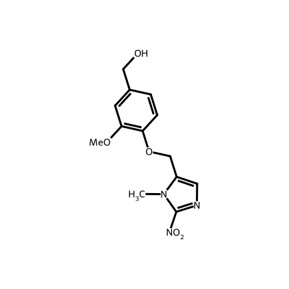 COc1cc(CO)ccc1OCc1cnc([N+](=O)[O-])n1C